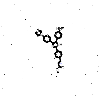 CNc1ccc(-c2[nH]c(-c3ccc(/C=C/C(=O)OC)cc3)nc2-c2ccc(-n3ccnc3)cc2)cc1